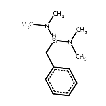 CN(C)[SiH](Cc1ccccc1)N(C)C